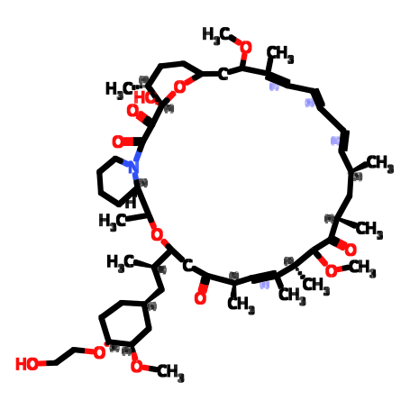 COC1CC2CC[C@@H](C)[C@@](O)(O2)C(=O)C(=O)N2CCCC[C@H]2C(C)OC([C@H](C)C[C@@H]2CC[C@@H](OCCO)[C@H](OC)C2)CC(=O)[C@H](C)/C=C(\C)[C@@H](C)C(OC)C(=O)[C@H](C)C[C@H](C)/C=C/C=C/C=C/1C